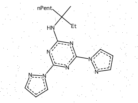 CCCCCC(C)(CC)Nc1nc(-n2cccn2)nc(-n2cccn2)n1